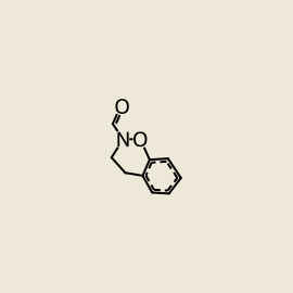 O=CN1CCc2ccccc2O1